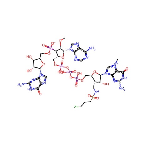 CO[C@@H]1[C@H](P(=O)([O-])OC[C@H]2O[C@@H](n3cnc4c(=O)[nH]c(N)nc43)[C@H](O)[C@@H]2O)[C@@H](COP(=O)(O)OP(=O)(O)OP(=O)(O)OC[C@H]2O[C@@H](n3c[n+](C)c4c(=O)[nH]c(N)nc43)[C@H](O)[C@@H]2CNS(=O)(=O)CCCF)O[C@H]1n1cnc2c(N)ncnc21